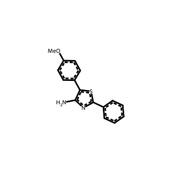 COc1ccc(-c2sc(-c3ccccc3)nc2N)cc1